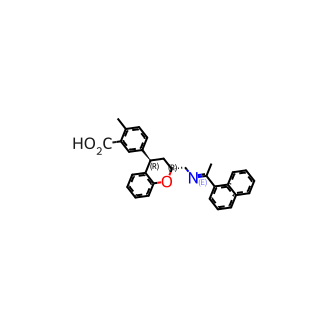 C/C(=N\C[C@H]1C[C@H](c2ccc(C)c(C(=O)O)c2)c2ccccc2O1)c1cccc2ccccc12